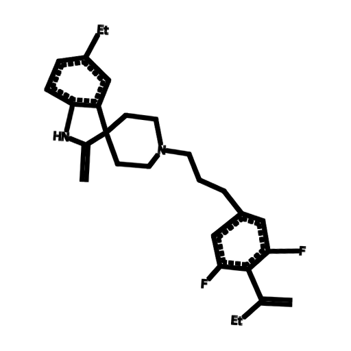 C=C(CC)c1c(F)cc(CCCN2CCC3(CC2)C(=C)Nc2ccc(CC)cc23)cc1F